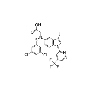 O=C(O)CN(Sc1cc(Cl)cc(Cl)c1)c1ccc2c(c1)c(I)cn2-c1cc(C(F)(F)F)cnn1